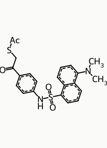 CC(=O)SCC(=O)c1ccc(NS(=O)(=O)c2cccc3c(N(C)C)cccc23)cc1